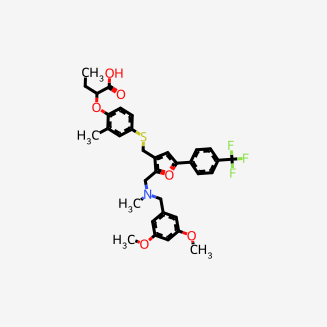 CCC(Oc1ccc(SCc2cc(-c3ccc(C(F)(F)F)cc3)oc2CN(C)Cc2cc(OC)cc(OC)c2)cc1C)C(=O)O